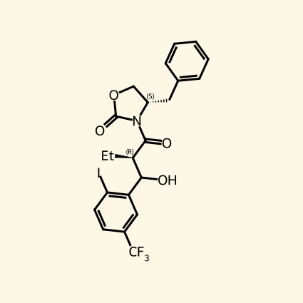 CC[C@@H](C(=O)N1C(=O)OC[C@@H]1Cc1ccccc1)C(O)c1cc(C(F)(F)F)ccc1I